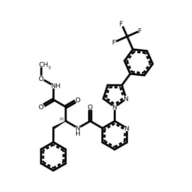 CONC(=O)C(=O)[C@H](Cc1ccccc1)NC(=O)c1cccnc1-n1ccc(-c2cccc(C(F)(F)F)c2)n1